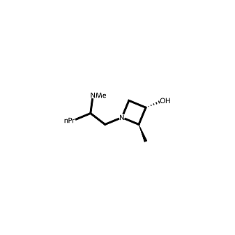 CCCC(CN1C[C@H](O)[C@H]1C)NC